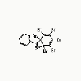 BrC1=C(Br)C(Br)(Br)C(Br)(N(Br)c2ccccc2)C(Br)=C1Br